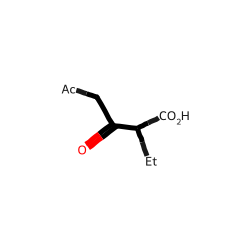 CCC(C(=O)O)C(=O)CC(C)=O